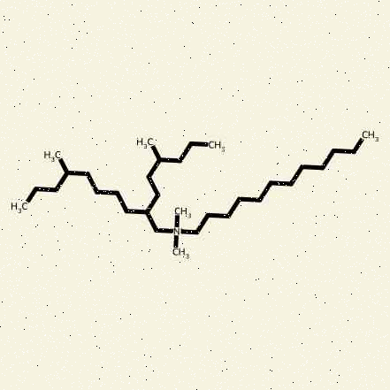 CCCCCCCCCCCC[N+](C)(C)CC(CCCCC(C)CCC)CCC(C)CCC